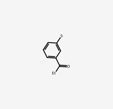 CCC(=O)c1cccc([S])c1